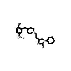 COc1ccc(Br)c(CC2CCN(CCC3CN(C4CCCCC4)C(=O)N3)CC2)c1